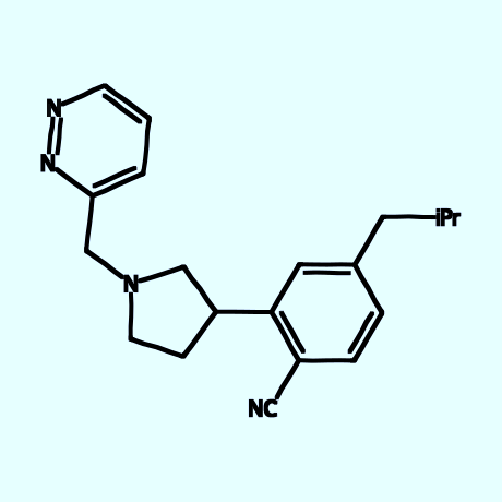 CC(C)Cc1ccc(C#N)c(C2CCN(Cc3cccnn3)C2)c1